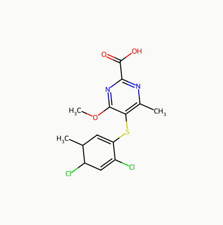 COc1nc(C(=O)O)nc(C)c1SC1=CC(C)C(Cl)C=C1Cl